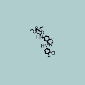 CCOP(=O)(CC(=O)Nc1ccc2ncnc(Nc3ccc(F)c(Cl)c3)c2c1)OCC